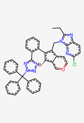 CCc1nc2ccc(Cl)nc2n1Cc1c2ccocc-2c(Br)c1-c1ccccc1-c1nnn(C(c2ccccc2)(c2ccccc2)c2ccccc2)n1